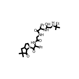 CCC(C)(C)NCC(O)NC(C(=O)NCC(=O)NC(C(=O)N1CCC2CC(C)(C)C(=O)C21)C(C)C)C(C)C